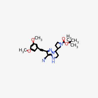 COc1cc(C#Cc2nn3c(c2C#N)NCCC3C2CCN(C(=O)OC(C)(C)C)C2)cc(OC)c1